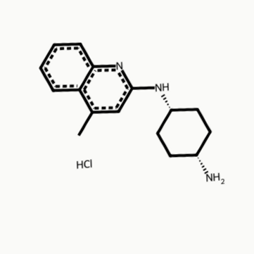 Cc1cc(N[C@H]2CC[C@@H](N)CC2)nc2ccccc12.Cl